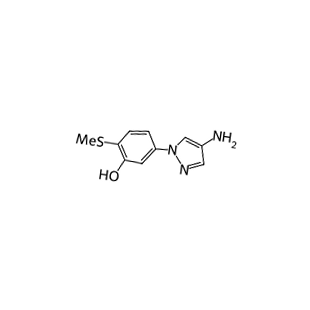 CSc1ccc(-n2cc(N)cn2)cc1O